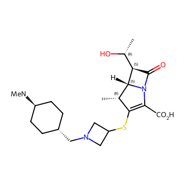 CN[C@H]1CC[C@H](CN2CC(SC3=C(C(=O)O)N4C(=O)[C@H]([C@@H](C)O)[C@H]4[C@H]3C)C2)CC1